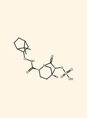 CC1(C)C2CCC1C(ONC(=O)[C@@H]1CC[C@@H]3CN1C(=O)N3OS(=O)(=O)O)C2